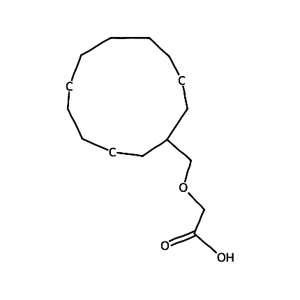 O=C(O)COCC1CCCCCCCCCCC1